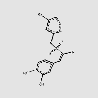 N#C/C(=C/c1ccc(O)c(O)c1)S(=O)(=O)Cc1cccc(Br)c1